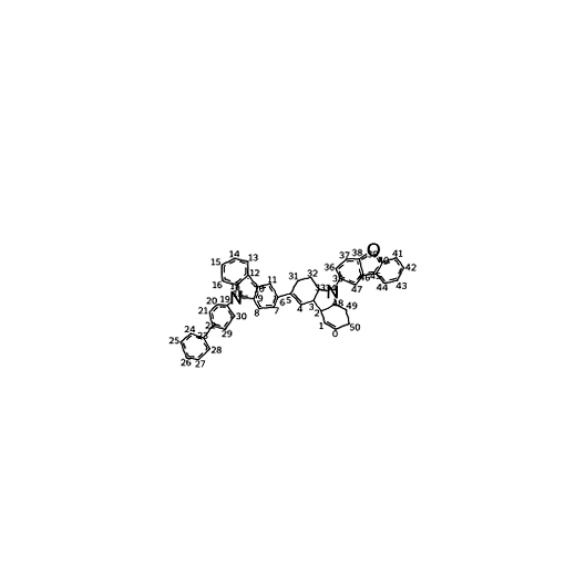 C1=CC2C3C=C(c4ccc5c(c4)c4ccccc4n5-c4ccc(-c5ccccc5)cc4)CCC3N(c3ccc4oc5ccccc5c4c3)C2CC1